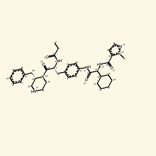 CCC(=O)N[C@H](Cc1ccc(NC(=O)[C@@H](NC(=O)c2ccnn2C)C2CCCCC2)cc1)C(=O)N1CCNC[C@@H]1Cc1ccccc1